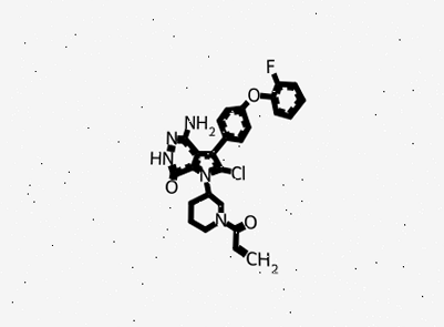 C=CC(=O)N1CCCC(n2c(Cl)c(-c3ccc(Oc4ccccc4F)cc3)c3c(N)n[nH]c(=O)c32)C1